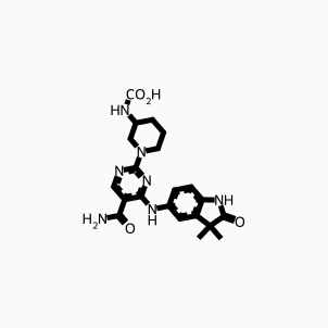 CC1(C)C(=O)Nc2ccc(Nc3nc(N4CCCC(NC(=O)O)C4)ncc3C(N)=O)cc21